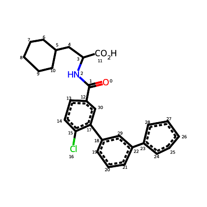 O=C(NC(CC1CCCCC1)C(=O)O)c1ccc(Cl)c(-c2cccc(-c3ccccc3)c2)c1